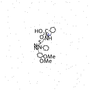 COc1ccc(-c2nnc(SCC(=O)N/N=C/c3ccccc3C(=O)O)n2-c2ccccc2)cc1OC